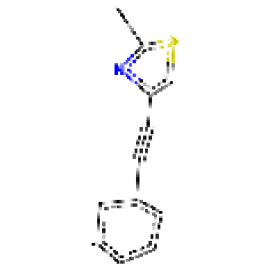 Cc1nc(C#Cc2c[c]ccc2)cs1